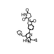 O=C1CCC(N2Cc3cc(-c4cc(CN5CCCC5)c5[nH]nc(C6CC6)c5n4)ccc3C2=O)C(=O)N1